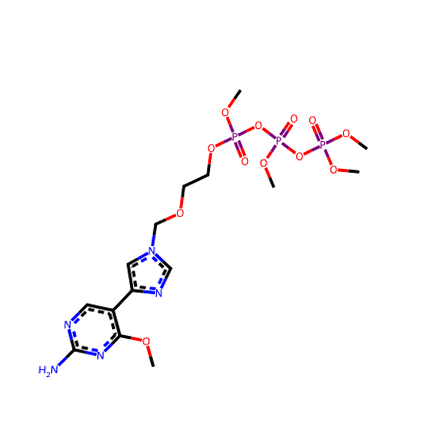 COc1nc(N)ncc1-c1cn(COCCOP(=O)(OC)OP(=O)(OC)OP(=O)(OC)OC)cn1